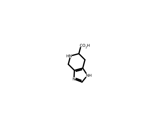 O=C(O)C1Cc2[nH]cnc2CN1